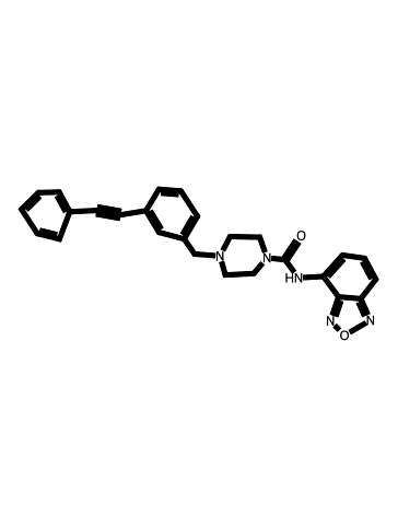 O=C(Nc1cccc2nonc12)N1CCN(Cc2cccc(C#Cc3ccccc3)c2)CC1